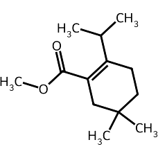 COC(=O)C1=C(C(C)C)CCC(C)(C)C1